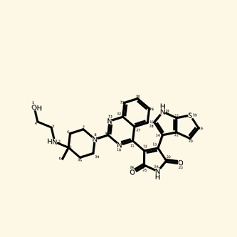 CC1(NCCO)CCN(c2nc(C3=C(c4c[nH]c5sccc45)C(=O)NC3=O)c3ccccc3n2)CC1